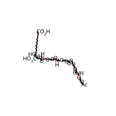 CC(=O)COCCOCCNC(=O)COCCOCCN(C)C(=O)COCCOCCNC(=O)COCCOCCNC(=O)CC[C@H](NC(C)(O)CCCCCCCCCCCCCCC(=O)O)C(=O)O